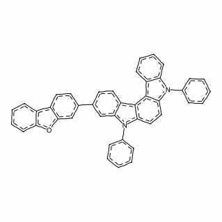 c1ccc(-n2c3ccccc3c3c4c5ccc(-c6ccc7c(c6)oc6ccccc67)cc5n(-c5ccccc5)c4ccc32)cc1